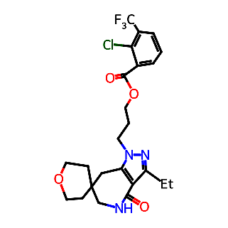 CCc1nn(CCCOC(=O)c2cccc(C(F)(F)F)c2Cl)c2c1C(=O)NCC1(CCOCC1)C2